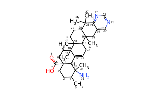 CC1CCC2(C(=O)O)CCC3(C)C(=CCC4C5(C)Cc6cncnc6C(C)(C)C5CCC43C)C2C1(C)N